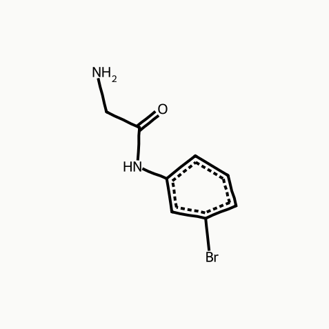 NCC(=O)Nc1cccc(Br)c1